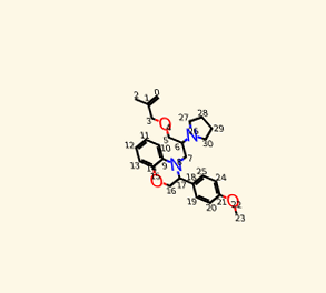 C=C(C)COCC(CN1c2ccccc2OCC1c1ccc(OC)cc1)N1CCCC1